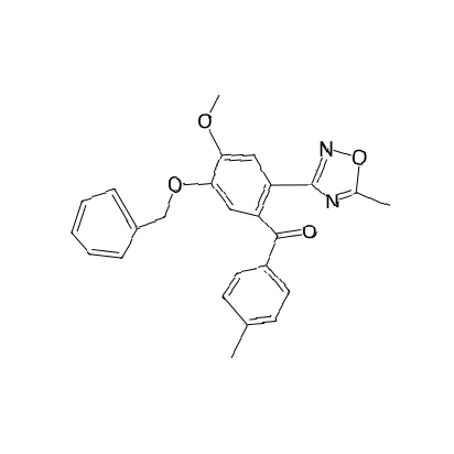 COc1cc(-c2noc(C)n2)c(C(=O)c2ccc(C)cc2)cc1OCc1ccccc1